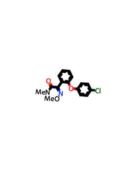 CNC(=O)C(=NOC)c1ccccc1Oc1ccc(Cl)cc1